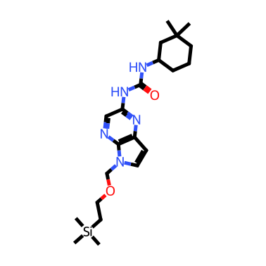 CC1(C)CCCC(NC(=O)Nc2cnc3c(ccn3COCC[Si](C)(C)C)n2)C1